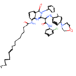 CCCCCCCCCCCCCCCC(=O)Nc1cccc2c(=O)n(-c3ccccc3)c(/C(=N/c3ccc(N4CCOCC4)cc3C)C(=O)Nc3ccccc3Cl)nc12